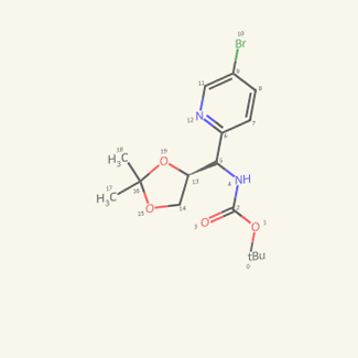 CC(C)(C)OC(=O)NC(c1ccc(Br)cn1)[C@H]1COC(C)(C)O1